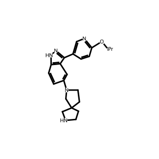 CC(C)Oc1ccc(-c2n[nH]c3ccc(N4CCC5(CCNC5)C4)cc23)cn1